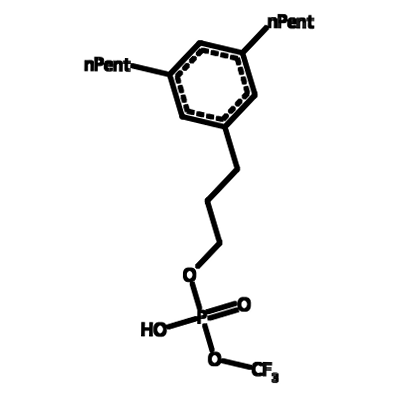 CCCCCc1cc(CCCCC)cc(CCCOP(=O)(O)OC(F)(F)F)c1